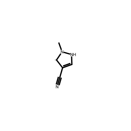 CN1[C]C(C#N)=CN1